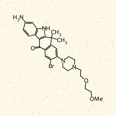 COCCOCCN1CCN(c2cc3c(cc2Br)C(=O)c2c([nH]c4cc(N)ccc24)C3(C)C)CC1